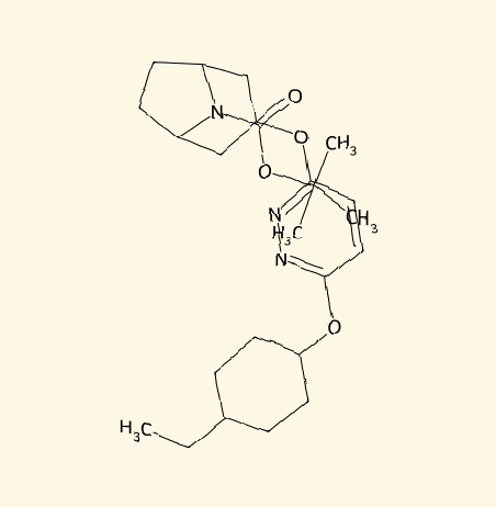 CCC1CCC(Oc2ccc(OC3CC4CCC(C3)N4C(=O)OC(C)(C)C)nn2)CC1